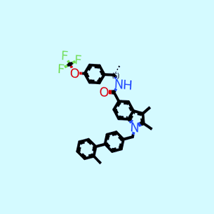 Cc1ccccc1-c1ccc(Cn2c(C)c(C)c3cc(C(=O)N[C@@H](C)c4ccc(OC(F)(F)F)cc4)ccc32)cc1